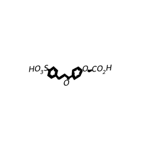 O=C(O)COc1ccc(C(=O)C=Cc2ccc(S(=O)(=O)O)cc2)cc1